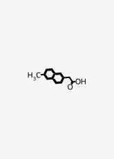 Cc1ccc2cc(CC(=O)O)ccc2c1